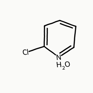 Clc1ccccn1.O